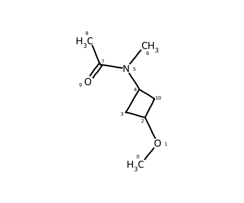 COC1CC(N(C)C(C)=O)C1